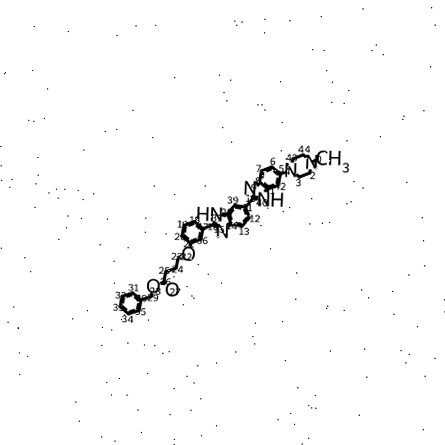 CN1CCN(c2ccc3nc(-c4ccc5nc(-c6cccc(OCCCC(=O)OCc7ccccc7)c6)[nH]c5c4)[nH]c3c2)CC1